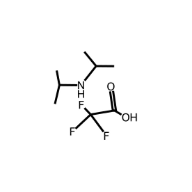 CC(C)NC(C)C.O=C(O)C(F)(F)F